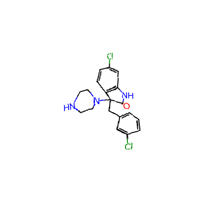 O=C1Nc2cc(Cl)ccc2C1(Cc1cccc(Cl)c1)N1CCNCC1